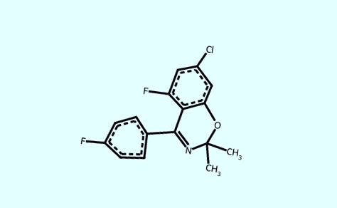 CC1(C)N=C(c2ccc(F)cc2)c2c(F)cc(Cl)cc2O1